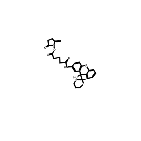 C=C1CCC(=O)N1OC(=O)CCCC(=O)Nc1ccc2c(c1)C(O)(C1(C)SCCCS1)c1ccccc1S2